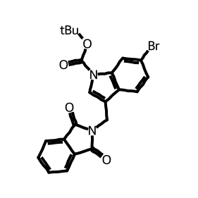 CC(C)(C)OC(=O)n1cc(CN2C(=O)c3ccccc3C2=O)c2ccc(Br)cc21